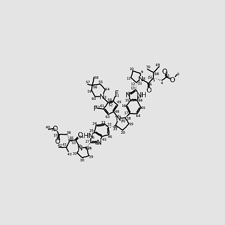 COC(=O)C[C@H](C(=O)N1CCC[C@H]1c1nc2cc([C@H]3CC[C@H](c4ccc5[nH]c([C@@H]6CCCN6C(=O)[C@@H](CC(=O)OC)C(C)C)nc5c4)N3c3cc(F)c(N4CCC(C)(C)CC4)c(F)c3)ccc2[nH]1)C(C)C